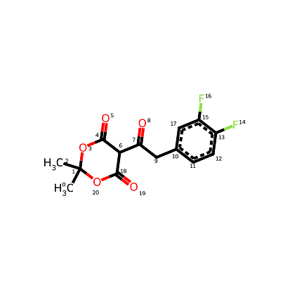 CC1(C)OC(=O)C(C(=O)Cc2ccc(F)c(F)c2)C(=O)O1